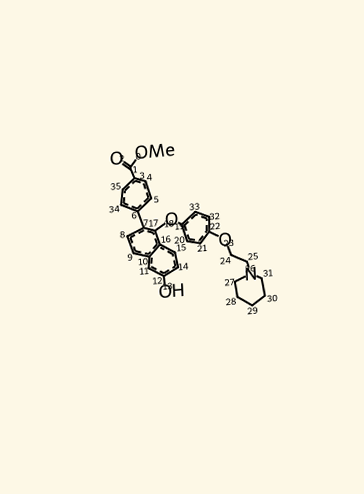 COC(=O)c1ccc(-c2ccc3cc(O)ccc3c2Oc2ccc(OCCN3CCCCC3)cc2)cc1